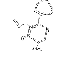 C=CCn1c(-c2ccccc2)ncc(N)c1=O